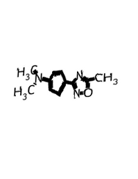 Cc1nc(-c2ccc(N(C)C)cc2)no1